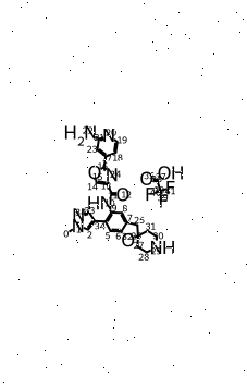 Cn1cc(-c2cc3c(cc2NC(=O)c2coc(-c4ccnc(N)c4)n2)CC2(CCNCC2)O3)cn1.O=C(O)C(F)(F)F